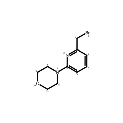 BrCc1cccc(N2CCOCC2)n1